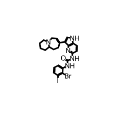 O=C(Nc1ccc2[nH]cc(C3=CCN4CCCCC4CC3)c2n1)Nc1cccc(I)c1Br